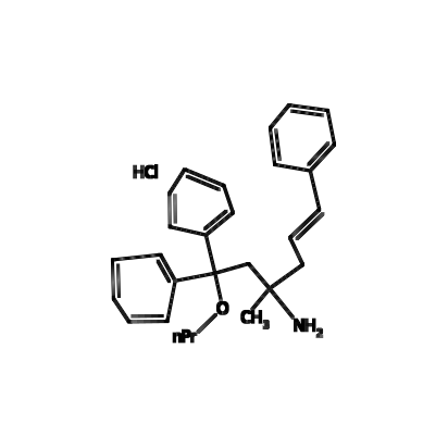 CCCOC(CC(C)(N)C/C=C/c1ccccc1)(c1ccccc1)c1ccccc1.Cl